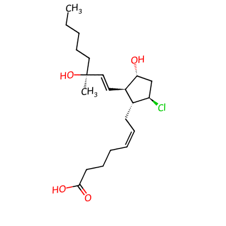 CCCCC[C@](C)(O)/C=C/[C@@H]1[C@@H](C/C=C\CCCC(=O)O)[C@H](Cl)C[C@H]1O